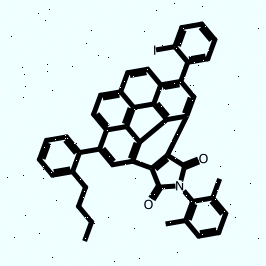 CCCCc1ccccc1-c1cc2c3c(=O)n(-c4c(C)cccc4C)c(=O)c3c3cc(-c4ccccc4I)c4ccc5ccc1c1c5c4c3c21